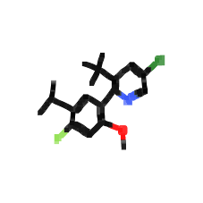 COc1cc(F)c(C(C)C)cc1-c1ncc(Cl)cc1C(C)(C)C